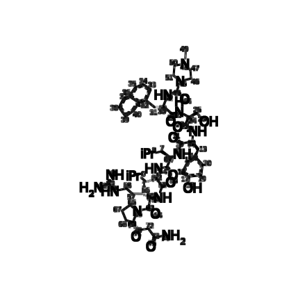 CC(C)C[C@H](NC(=O)[C@@H](CC(C)C)NC(=O)[C@H](Cc1ccc(O)cc1)NC(=O)[C@H](CO)NC(=O)[C@H](Cc1cccc2ccccc12)NC(=O)N1CCN(C)CC1)C(=O)N[C@@H](CCCNC(=N)N)C(=O)N1CCC[C@H]1C(=O)CC(N)=O